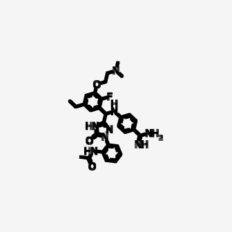 CCc1cc(OCCN(C)C)c(F)c(C(Nc2ccc(C(=N)N)cc2)c2nn(-c3ccccc3NC(C)=O)c(=O)[nH]2)c1